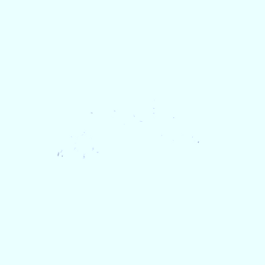 CCCCC1CCC(C(=O)OCCOC(CC)Oc2ccc(C(C)CC)cc2)CC1